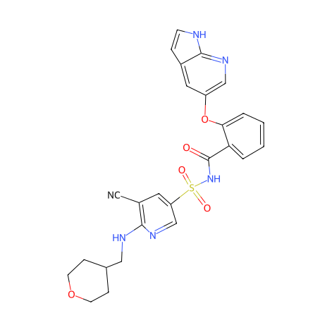 N#Cc1cc(S(=O)(=O)NC(=O)c2ccccc2Oc2cnc3[nH]ccc3c2)cnc1NCC1CCOCC1